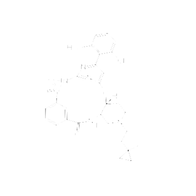 Cc1cccc(C)c1-c1cc2nc(n1)NS(=O)(=O)c1cccc(c1)C(=O)N[C@@H]1CN(CCC3(C(F)(F)F)CC3)CC[C@H]1O2